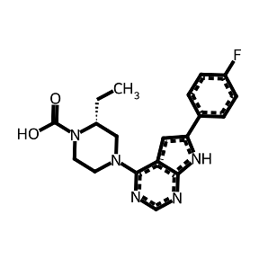 CC[C@@H]1CN(c2ncnc3[nH]c(-c4ccc(F)cc4)cc23)CCN1C(=O)O